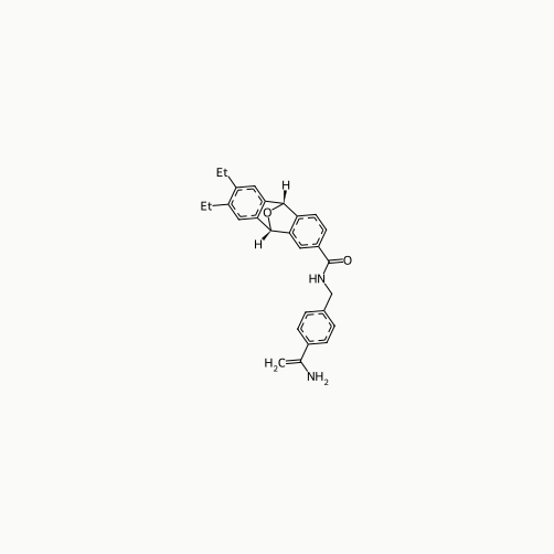 C=C(N)c1ccc(CNC(=O)c2ccc3c(c2)[C@H]2O[C@@H]3c3cc(CC)c(CC)cc32)cc1